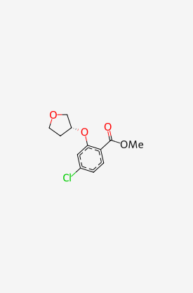 COC(=O)c1ccc(Cl)cc1O[C@@H]1CCOC1